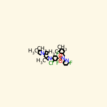 Cc1ccc(CN(c2cccc(F)n2)S(=O)(=O)c2c(F)cc(N3CC(C)(CC4(N5CCC(C)(C)C5)CCC4)C3)c(Cl)c2F)cc1C